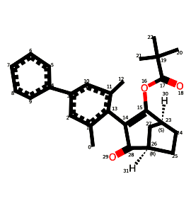 Cc1cc(-c2ccccc2)cc(C)c1C1=C(OC(=O)C(C)(C)C)[C@H]2CC[C@H](C2)C1=O